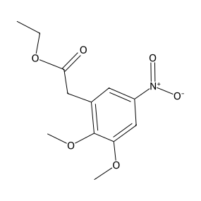 CCOC(=O)Cc1cc([N+](=O)[O-])cc(OC)c1OC